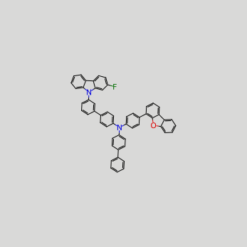 Fc1ccc2c3ccccc3n(-c3cccc(-c4ccc(N(c5ccc(-c6ccccc6)cc5)c5ccc(-c6cccc7c6oc6ccccc67)cc5)cc4)c3)c2c1